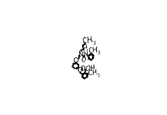 CCCCCN(CCO[C@H]1CCC[C@@H](OCc2cccc(C)c2C(=O)O)C1)C(=O)Nc1ccccc1C